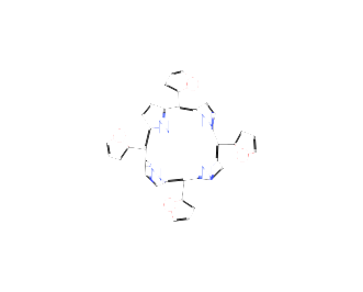 C1=CC2=C(c3ccco3)C3=NC(=C(c4ccco4)C4=NC(=C(c5ccco5)C5=NC(=C(c6ccco6)C1=N2)C=C5)C=C4)C=C3